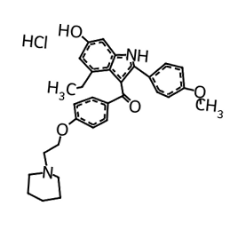 CCc1cc(O)cc2[nH]c(-c3ccc(OC)cc3)c(C(=O)c3ccc(OCCN4CCCCC4)cc3)c12.Cl